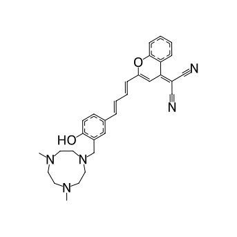 CN1CCN(C)CCN(Cc2cc(/C=C/C=C/C3=CC(=C(C#N)C#N)c4ccccc4O3)ccc2O)CC1